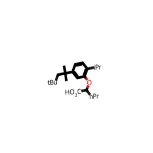 CCCC(Oc1cc(C(C)(C)CC(C)(C)C)ccc1C(C)C)C(=O)O